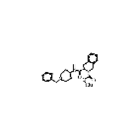 CC(C)(C)OC(=O)N1Cc2ccccc2CC1C(=O)NC1CCN(Cc2ccccc2)CC1